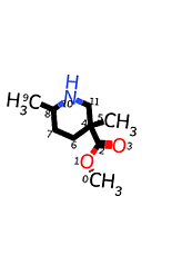 COC(=O)C1(C)CCC(C)NC1